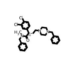 CN(Cc1ccccc1)C(=O)[C@@H](CCN1CCN(Cc2ccccc2)CC1)c1ccc(Cl)c(Cl)c1